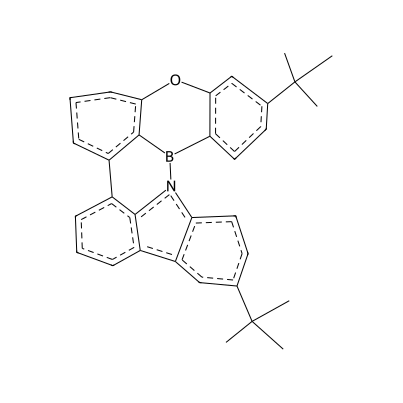 CC(C)(C)c1ccc2c(c1)Oc1cccc3c1B2n1c2ccc(C(C)(C)C)cc2c2cccc-3c21